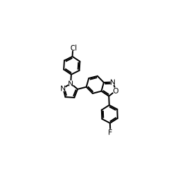 Fc1ccc(-c2onc3ccc(-c4ccnn4-c4ccc(Cl)cc4)cc23)cc1